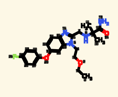 CCOCCn1c(CNC(C)(C)C(N)=O)nc2ccc(Oc3ccc(F)cc3)cc21